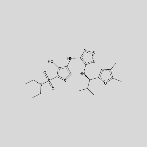 CCN(CC)S(=O)(=O)c1scc(Nc2nsnc2N[C@@H](c2cc(C)c(C)o2)C(C)C)c1O